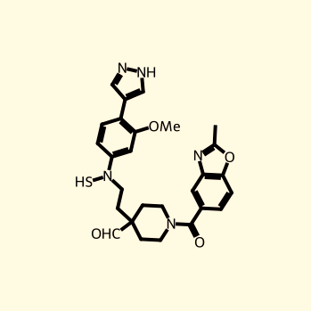 COc1cc(N(S)CCC2(C=O)CCN(C(=O)c3ccc4oc(C)nc4c3)CC2)ccc1-c1cn[nH]c1